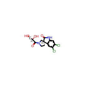 O=C([C@H](O)CO)N1CC[C@]2(C1)C(=O)Nc1cc(Cl)c(Cl)cc12